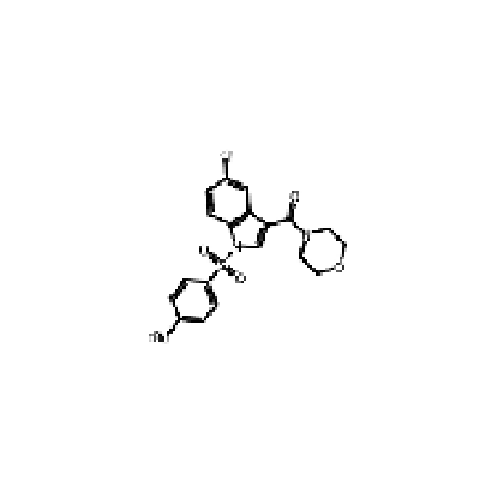 CC(C)(C)c1ccc(S(=O)(=O)n2cc(C(=O)N3CCOCC3)c3cc(Cl)ccc32)cc1